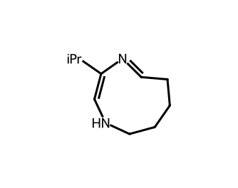 CC(C)C1=C/NCCCC\C=N\1